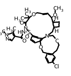 CO[C@@H]1/C=C/COC(C)(C)C(=O)N=[S@@](=O)(NC(=O)c2cnn(C)c2C)c2ccc3c(c2)N(CCCCc2cc(Cl)ccc2CO3)C[C@@H]2CC[C@H]21